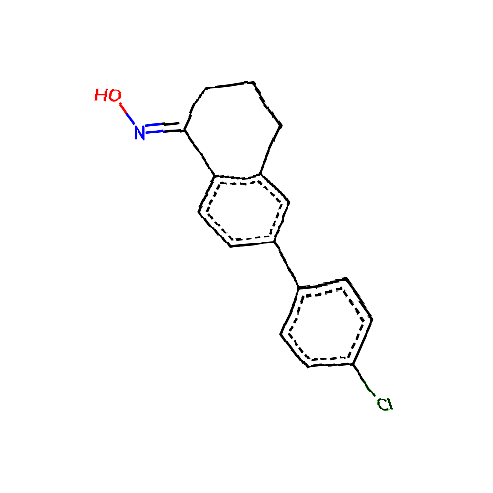 O/N=C1\CCCc2cc(-c3ccc(Cl)cc3)ccc21